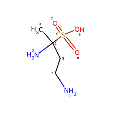 CC(N)(CCN)S(=O)(=O)O